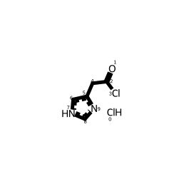 Cl.O=C(Cl)Cc1c[nH]cn1